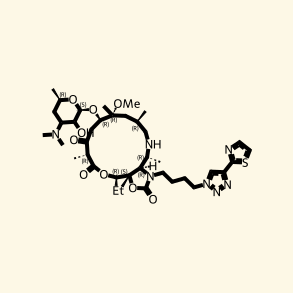 CC[C@H]1OC(=O)[C@H](C)C(=O)C[C@@H](O[C@@H]2O[C@H](C)CC(N(C)C)C2O)[C@](C)(OC)C[C@@H](C)CN[C@H](C)[C@H]2N(CCCCn3cc(-c4nccs4)nn3)C(=O)O[C@]12C